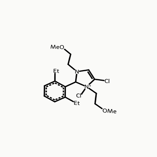 CCc1cccc(CC)c1C1N(CCOC)C=C(Cl)[N+]1(Cl)CCOC